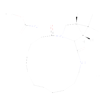 CC(C)(C)OC(=O)N[C@H]1CCCCCCCCC[C@@H](C=O)NC(=O)[C@@H]2[C@@H]3[C@H](CN2C1=O)C3(C)C